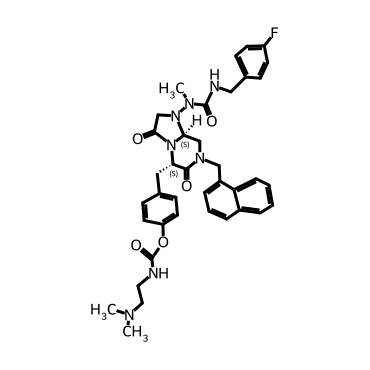 CN(C)CCNC(=O)Oc1ccc(C[C@H]2C(=O)N(Cc3cccc4ccccc34)C[C@H]3N2C(=O)CN3N(C)C(=O)NCc2ccc(F)cc2)cc1